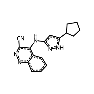 N#Cc1nnc2ccccc2c1Nc1cc(C2CCCC2)[nH]n1